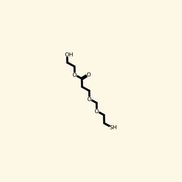 O=C(CCOCOCCS)OCCO